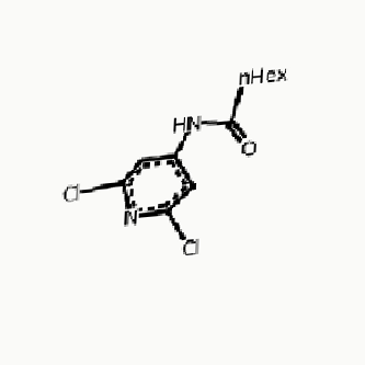 CCCCCCC(=O)Nc1cc(Cl)nc(Cl)c1